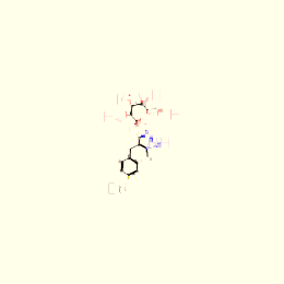 CCSc1ccc(Cc2c(O[C@@H]3O[C@H](CO)[C@@H](O)[C@H](O)[C@H]3O)n[nH]c2C)cc1